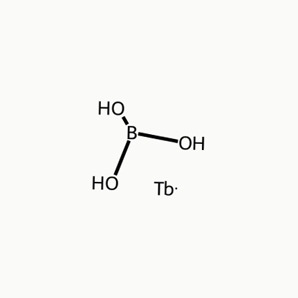 OB(O)O.[Tb]